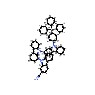 N#Cc1ccc2c3ccccc3n(-c3cccc4c5ccccc5n(-c5ccc6c7ccccc7n(-c7ccc([Si](c8ccccc8)(c8ccccc8)c8ccccc8)cc7)c6c5)c34)c2c1